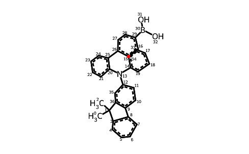 CC1(C)c2ccccc2-c2ccc(N(c3ccccc3)c3ccccc3-c3ccc(B(O)O)cc3)cc21